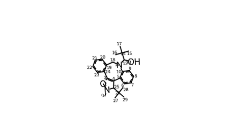 CN1OC2=C(c3ccccc3N(C(O)C(C)(C)C)Cc3ccccc32)C1C(C)(C)C